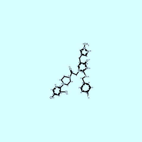 Cn1cc(Cc2cn(CC(=O)N3CCN(c4ncc(Cl)cc4Cl)CC3)c(SCc3ccc(F)cc3)nc2=O)cn1